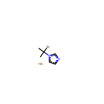 Br.CCC(C)(C)n1ccnc1